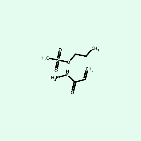 C=CC(=O)PP.CCCOS(C)(=O)=O